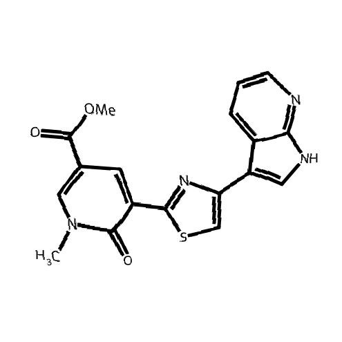 COC(=O)c1cc(-c2nc(-c3c[nH]c4ncccc34)cs2)c(=O)n(C)c1